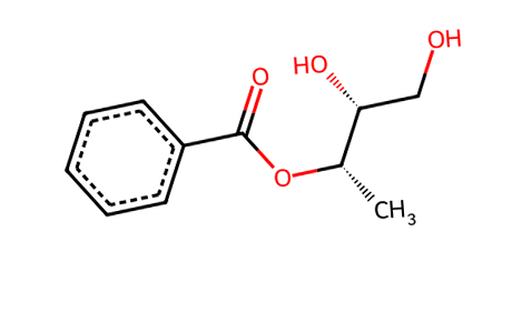 C[C@H](OC(=O)c1ccccc1)[C@H](O)CO